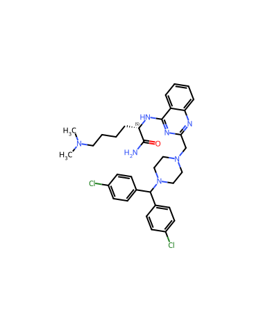 CN(C)CCCC[C@H](Nc1nc(CN2CCN(C(c3ccc(Cl)cc3)c3ccc(Cl)cc3)CC2)nc2ccccc12)C(N)=O